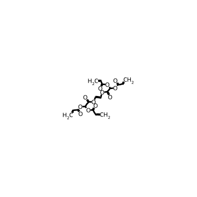 C=CC(=O)OC(OC(=O)C=C)C(=O)OC=COC(=O)C(OC(=O)C=C)OC(=O)C=C